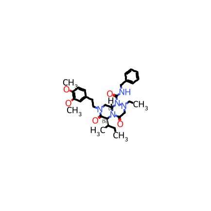 CCC(C)[C@H]1C(=O)N(CCc2ccc(OC)c(OC)c2)C[C@H]2N1C(=O)CN(CC)N2C(=O)NCc1ccccc1